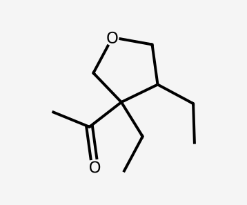 CCC1COCC1(CC)C(C)=O